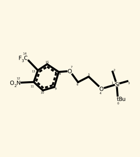 CC(C)(C)[Si](C)(C)OCCOc1ccc([N+](=O)[O-])c(C(F)(F)F)c1